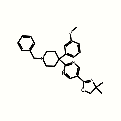 COc1cccc(C2(c3ncc(C4=NC(C)(C)CO4)cn3)CCN(Cc3ccccc3)CC2)c1